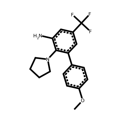 COc1ccc(-c2cc(C(F)(F)F)cc(N)c2N2CCCC2)cc1